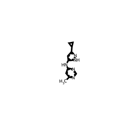 Cc1cc(Nc2cc(C3CC3)n[nH]2)ncn1